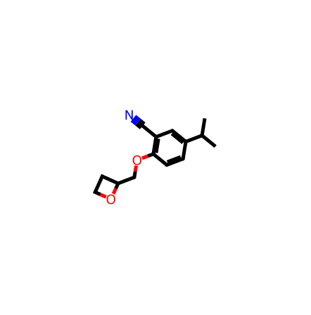 CC(C)c1ccc(OCC2CCO2)c(C#N)c1